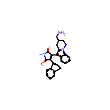 NCC1CCn2c(c(C3=C(C4=CCc5ccccc54)C(=O)NC3=O)c3ccccc32)C1